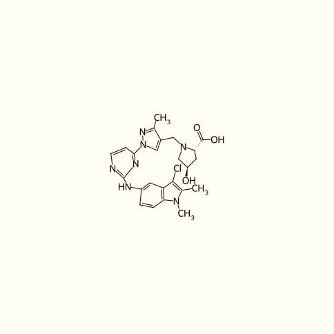 Cc1nn(-c2ccnc(Nc3ccc4c(c3)c(Cl)c(C)n4C)n2)cc1CN1C[C@H](O)C[C@H]1C(=O)O